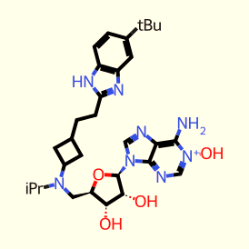 CC(C)N(C[C@H]1O[C@@H](n2cnc3c(N)[n+](O)cnc32)[C@H](O)[C@@H]1O)C1CC(CCc2nc3cc(C(C)(C)C)ccc3[nH]2)C1